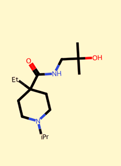 CCC1(C(=O)NCC(C)(C)O)CCN(C(C)C)CC1